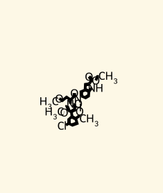 CCOC(=O)c1cc2cc(NC(=O)C(CCOC)n3cc(OC)c(-c4cc(Cl)ccc4C(C)=O)cc3=O)ccc2[nH]1